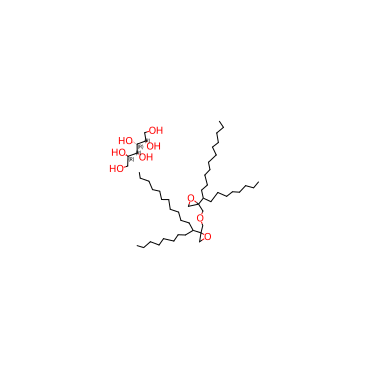 CCCCCCCCCCCC(CCCCCCCC)C1(COCC2(C(CCCCCCCC)CCCCCCCCCCC)CO2)CO1.OC[C@@H](O)[C@@H](O)[C@H](O)[C@H](O)CO